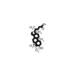 CC(C)C(=O)CC[C@@H](C)[C@H]1CC=C2C3=C(CC[C@@]21C)[C@@]1(C)CC[C@H](O)C(C)(C)[C@@H]1CC3